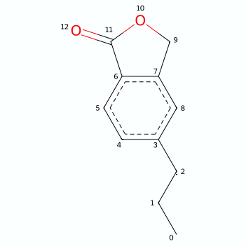 CC[CH]c1ccc2c(c1)COC2=O